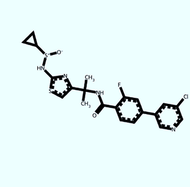 CC(C)(NC(=O)c1ccc(-c2cncc(Cl)c2)cc1F)c1csc(N[S+]([O-])C2CC2)n1